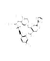 COC(=O)C1=C(CN2CCN(C)C(CN(C=O)C(C)(C)C#Cc3ccc(C#N)cc3)C2)NC(c2nccs2)=NC1